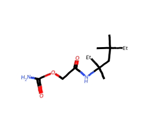 CCC(C)(C)CC(C)(CC)NC(=O)COC(N)=O